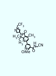 COc1ncc(-c2cc(C)c3c(n2)C(C)(C)N(c2cnn(CC(F)(F)F)c2)C3=O)cc1C(=O)NCC#N